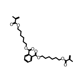 C=C(C)C(=O)OCCCCCCOC(=O)c1ccccc1C(=O)OCCCCCCOC(=O)C(=C)C